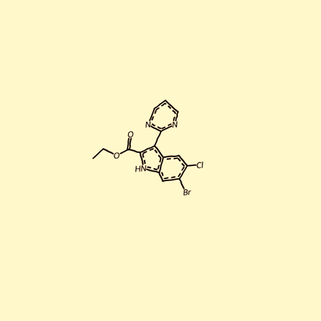 CCOC(=O)c1[nH]c2cc(Br)c(Cl)cc2c1-c1ncccn1